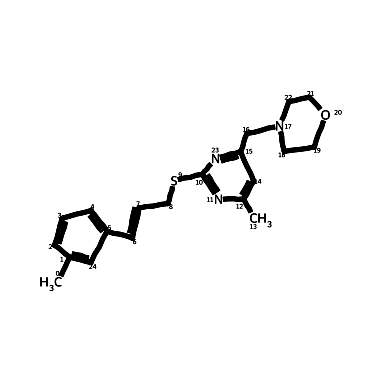 Cc1cccc(/C=C/CSc2nc(C)cc(CN3CCOCC3)n2)c1